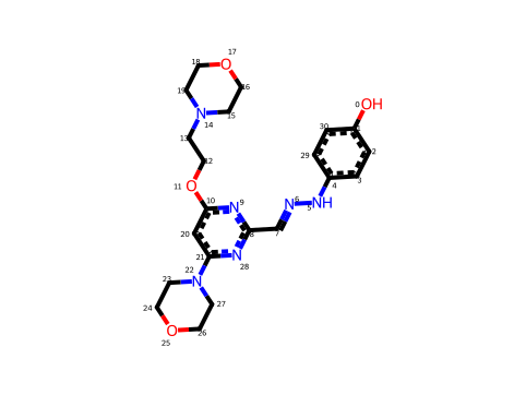 Oc1ccc(N/N=C/c2nc(OCCN3CCOCC3)cc(N3CCOCC3)n2)cc1